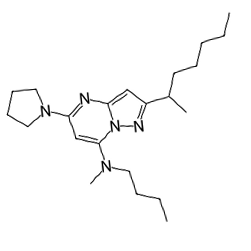 CCCCCC(C)c1cc2nc(N3CCCC3)cc(N(C)CCCC)n2n1